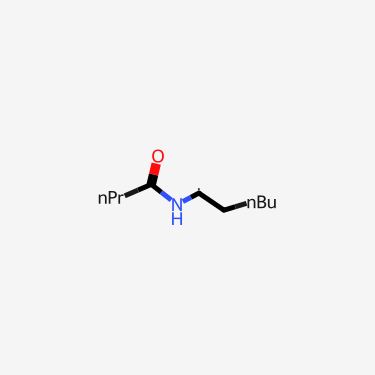 CCCCC[CH]NC(=O)CCC